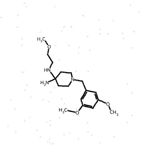 COCCNC1(N)CCN(Cc2cc(OC)cc(OC)c2)CC1